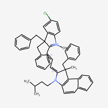 CC(C)CCN1/C(=C/C=C/C2=[N+](C)c3ccc(Cl)cc3C2(Cc2ccccc2)Cc2ccccc2)C(C)(Cc2ccccc2)c2c1ccc1ccccc21